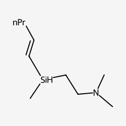 CCCC=C[SiH](C)CCN(C)C